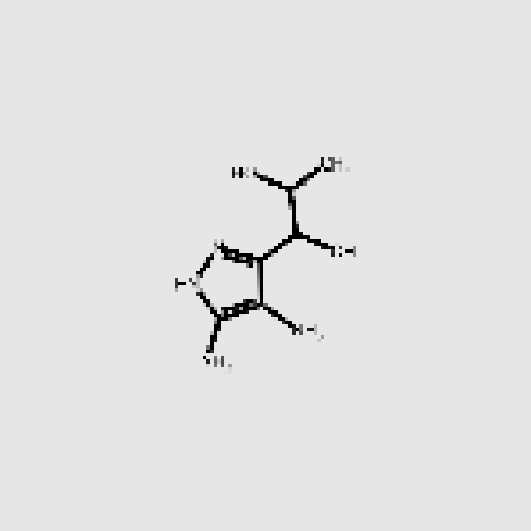 CC(O)C(O)c1n[nH]c(N)c1N